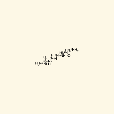 NNC(=O)NNN=NNNC(=O)NN